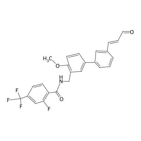 COc1ccc(-c2cccc(/C=C/C=O)c2)cc1CNC(=O)c1ccc(C(F)(F)F)cc1F